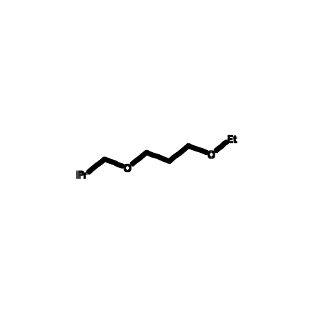 [CH2]COCCCOCC(C)C